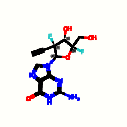 C#C[C@]1(F)[C@H](n2cnc3c(=O)[nH]c(N)nc32)O[C@](F)(CO)[C@H]1O